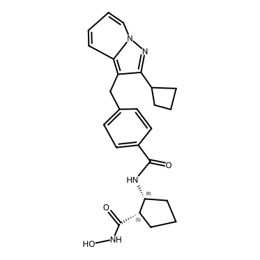 O=C(N[C@@H]1CCC[C@@H]1C(=O)NO)c1ccc(Cc2c(C3CCC3)nn3ccccc23)cc1